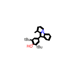 Cc1cccn2c1c(-c1cc(C(C)(C)C)c(O)c(C(C)(C)C)c1)c1ccccc12